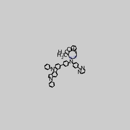 C=C1/C=C(N(c2ccc(-c3ccc4c(c3)c3ccc5c(ccn5-c5ccccc5)c3n4-c3ccccc3)cc2)c2ccc(-c3ncccn3)cc2)\C=C/Cc2ccccc2C1(C)C